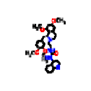 COc1cc2c(c(OC)c1)C(Cc1ccc(OC)c(OC)c1)N(CCNC(=O)Nc1ccnc3ccccc13)CC2